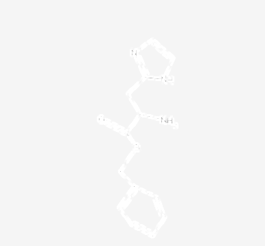 NC(Cc1ncc[nH]1)C(=O)OCc1ccccc1